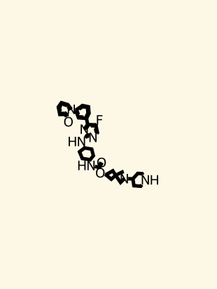 O=C(N[C@H]1CC[C@H](Nc2ncc(F)c(-c3cccc(-n4ccccc4=O)c3)n2)CC1)OC1CC2(C1)CN(C1CCNCC1)C2